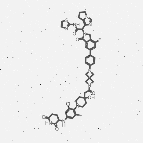 O=C1CCC(Nc2cc(F)c(N3CCC(O)(CC(=O)N4CC5(C4)CN(c4ccc(-c6cc(F)c7c(c6)C(=O)N(C(C(=O)Nc6nccs6)c6ncn8c6CCC8)C7)cc4)C5)CC3)c(Cl)c2)C(=O)N1